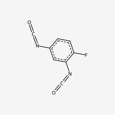 O=C=Nc1ccc(F)c(N=C=O)c1